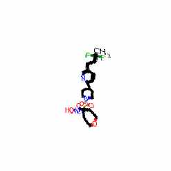 CC(F)(F)CCc1ccc(C2CCN(S(=O)(=O)C3(C(=O)NO)CCOCC3)CC2)nc1